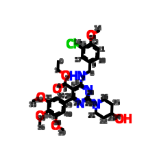 CCOC(=O)c1c(NCc2ccc(OC)c(Cl)c2)nc(N2CCC(O)CC2)nc1-c1cc(OC)c(OC)c(OC)c1